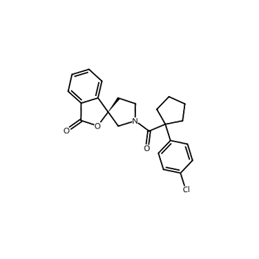 O=C1O[C@]2(CCN(C(=O)C3(c4ccc(Cl)cc4)CCCC3)C2)c2ccccc21